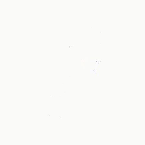 CC(C)(C)c1ccccc1-c1nnc(-c2ccc(-c3ccccc3)cc2)o1